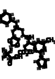 CCOC(=O)CC(NCCN(CC1=COCO1)Cc1ccccc1)c1cc(C)nc(-n2ccnc2)n1.O=C(O)C(F)(F)F